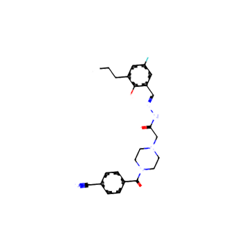 CCCc1cc(F)cc(C=NNC(=O)CN2CCN(C(=O)c3ccc(C#N)cc3)CC2)c1O